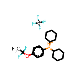 FC(F)(F)C(F)(F)Oc1ccc([PH+](C2CCCCC2)C2CCCCC2)cc1.F[B-](F)(F)F